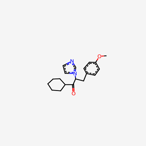 COc1ccc(CC(C(=O)C2CCCCC2)n2ccnc2)cc1